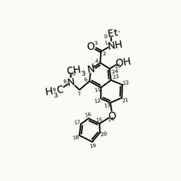 C[CH]NC(=O)c1nc(CN(C)C)c2cc(Oc3ccccc3)ccc2c1O